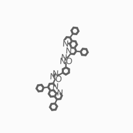 c1ccc(-c2ccnc3c2ccc2c(-c4ccccc4)cc(-c4nnc(-c5cccc(-c6nnc(-c7cc(-c8ccccc8)c8ccc9c(-c%10ccccc%10)ccnc9c8n7)o6)c5)o4)nc23)cc1